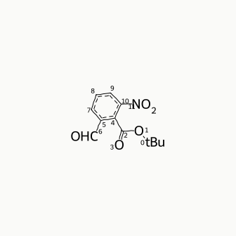 CC(C)(C)OC(=O)c1c(C=O)cccc1[N+](=O)[O-]